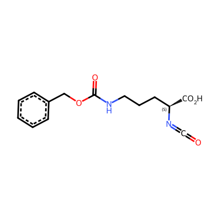 O=C=N[C@@H](CCCNC(=O)OCc1ccccc1)C(=O)O